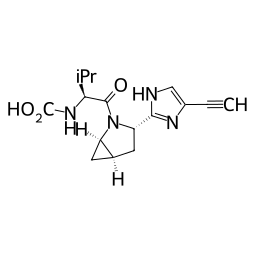 C#Cc1c[nH]c([C@@H]2C[C@H]3C[C@H]3N2C(=O)[C@@H](NC(=O)O)C(C)C)n1